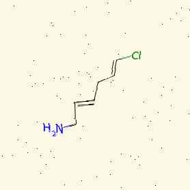 NCC=CCC=CCl